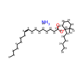 CCCCCCCC/C=C\CCCCCCCC(=O)OC1(CCCCCC)CCCCC1(C)C.N